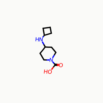 O=C(O)N1CCC(NC2CCC2)CC1